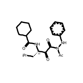 CC(=O)N(Nc1ccccc1)C(=O)C(=O)[C@H](CC(C)C)NC(=O)C1CCCCC1